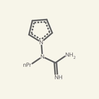 CCCN(C(=N)N)n1cccc1